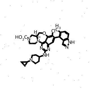 Cc1ccc2[nH]ncc2c1-c1cc2nc(NC3CCN(C4CC4)CC3)nc3c2c(c1Cl)OC[C@@H]1CN(C(=O)O)CCN31